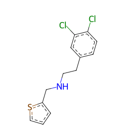 Clc1ccc(CCNCc2cccs2)cc1Cl